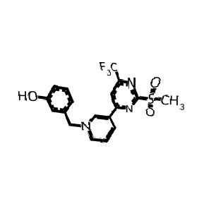 CS(=O)(=O)c1nc(C2=CN(Cc3cccc(O)c3)CC=C2)cc(C(F)(F)F)n1